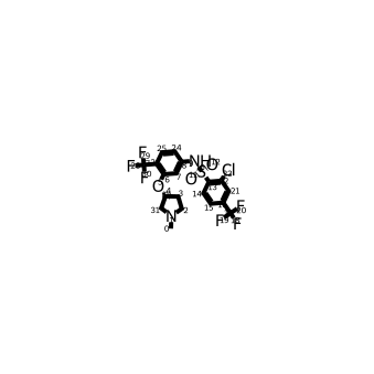 CN1CC[C@@H](Oc2cc(NS(=O)(=O)c3ccc(C(F)(F)F)cc3Cl)ccc2C(F)(F)F)C1